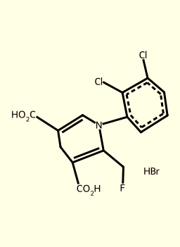 Br.O=C(O)C1=CN(c2cccc(Cl)c2Cl)C(CF)=C(C(=O)O)C1